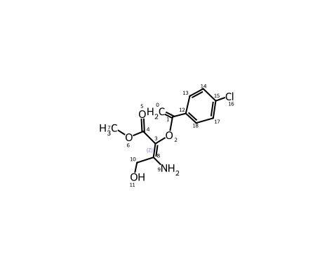 C=C(O/C(C(=O)OC)=C(\N)CO)c1ccc(Cl)cc1